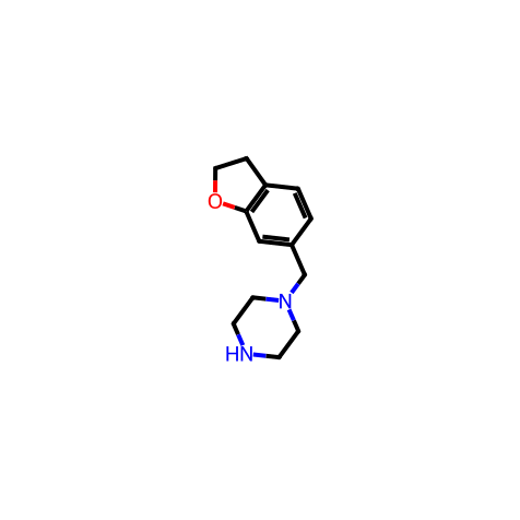 c1cc2c(cc1CN1CCNCC1)OCC2